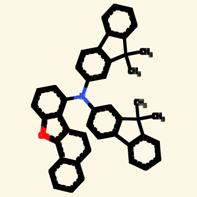 CC1(C)c2ccccc2-c2ccc(N(c3ccc4c(c3)C(C)(C)c3ccccc3-4)c3cccc4oc5c6ccccc6ccc5c34)cc21